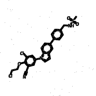 CS(=O)(=O)NCc1ccc(-c2ccc3c(ccn3-c3cc(Cl)c(OCCCl)c(C#N)c3)c2)cc1